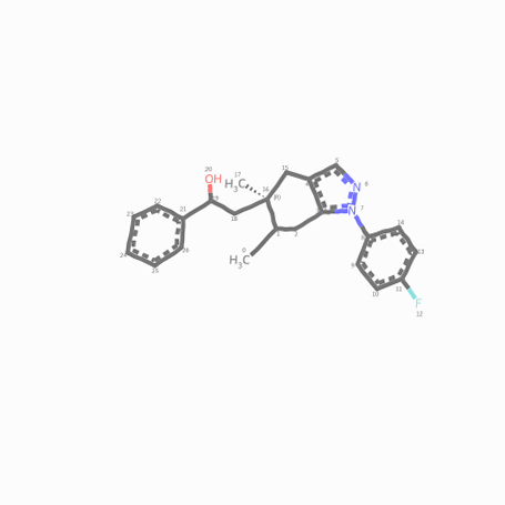 CC1Cc2c(cnn2-c2ccc(F)cc2)C[C@]1(C)CC(O)c1ccccc1